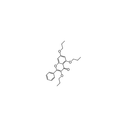 CCCOc1cc(OCCC)c2c(=O)c(OCCC)c(-c3ccccc3)oc2c1